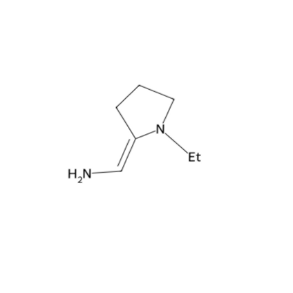 CCN1CCCC1=CN